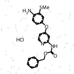 CSc1cc(Oc2ccnc(NC(=O)OCc3ccccc3)c2)ccc1N.Cl